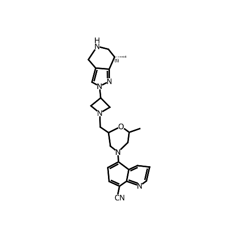 CC1CN(c2ccc(C#N)c3ncccc23)CC(CN2CC(n3cc4c(n3)[C@@H](C)CNC4)C2)O1